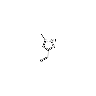 Cc1cc(C=O)n[nH]1